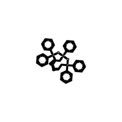 C=CC[Si](O[Si](CC=C)(c1ccccc1)c1ccccc1)(O[Si](CC=C)(c1ccccc1)c1ccccc1)c1ccccc1